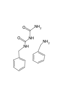 NC(=O)NC(=O)NCc1ccccc1.NCc1ccccc1